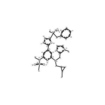 CC1CC1CN(Cc1nccn1C)c1cc(-c2nnc([C@](C)(N)Cc3ccccc3)o2)cc(N(C)S(C)(=O)=O)n1